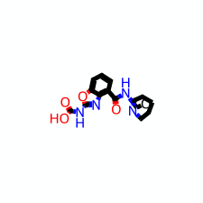 O=C(O)Nc1nc2c(C(=O)NC3CC4CCN3CC4)cccc2o1